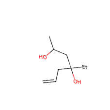 C=CCC(O)(CC)CC(C)O